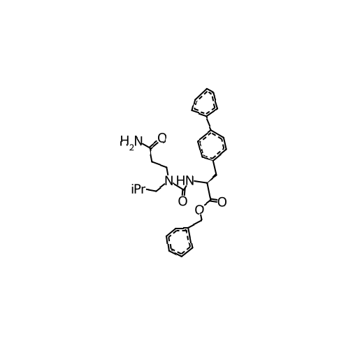 CC(C)CN(CCC(N)=O)C(=O)N[C@@H](Cc1ccc(-c2ccccc2)cc1)C(=O)OCc1ccccc1